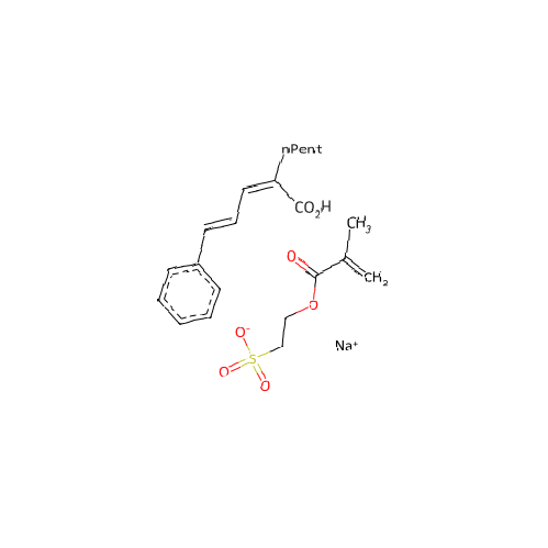 C=C(C)C(=O)OCCS(=O)(=O)[O-].CCCCCC(=CC=Cc1ccccc1)C(=O)O.[Na+]